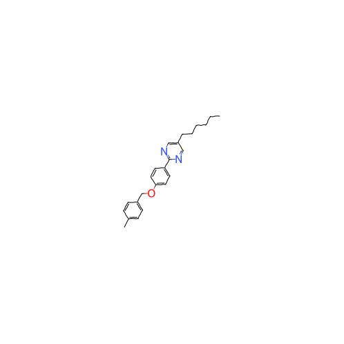 CCCCCCc1cnc(-c2ccc(OCc3ccc(C)cc3)cc2)nc1